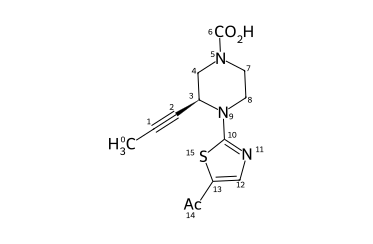 CC#C[C@H]1CN(C(=O)O)CCN1c1ncc(C(C)=O)s1